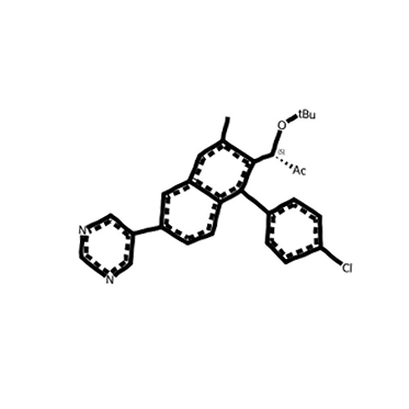 CC(=O)[C@@H](OC(C)(C)C)c1c(C)cc2cc(-c3cncnc3)ccc2c1-c1ccc(Cl)cc1